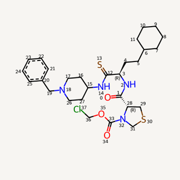 O=C(N[C@H](CCC1CCCCC1)C(=S)NC1CCN(Cc2ccccc2)CC1)[C@@H]1CSCN1C(=O)OCCl